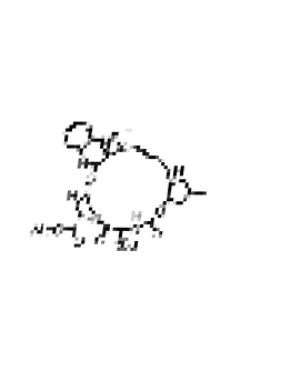 COC(=O)[C@@H]1C[C@@H]2CN1C(=O)[C@H](C(C)(C)C)NC(=O)O[C@@H]1C[C@H](C)C[C@H]1CC/C=C/C(F)(F)c1nc3ccccc3nc1O2